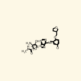 CNC(=O)[C@H]1O[C@@H](n2cnc3c(NCc4cc(Cl)ccc4OCC4CCOC4)ncnc32)[C@H](O)[C@@H]1N